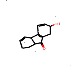 O=C1C2=C(C=CC(O)C2)C2C=CCCC12